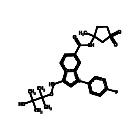 CC1(NC(=O)c2ccc3c(BOC(C)(C)C(C)(C)O)cn(-c4ccc(F)cc4)c3c2)CCS(=O)(=O)C1